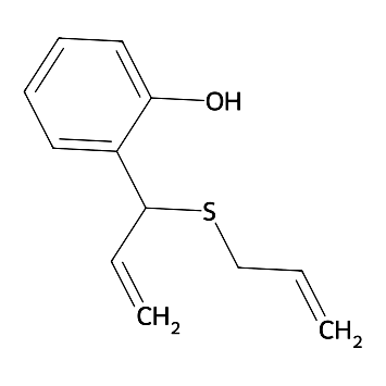 C=CCSC(C=C)c1ccccc1O